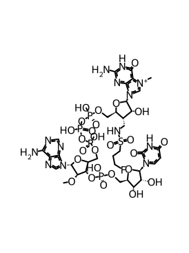 CO[C@@H]1[C@H](OP(=O)(O)OC[C@H]2O[C@@H](n3ccc(=O)[nH]c3=O)[C@H](O)[C@@H]2O)C(COP(=O)(O)OP(=O)(O)OP(=O)(O)OC[C@H]2O[C@@H](n3c[n+](C)c4c(=O)[nH]c(N)nc43)[C@H](O)[C@@H]2CNS(=O)(=O)CCCF)O[C@H]1n1cnc2c(N)ncnc21